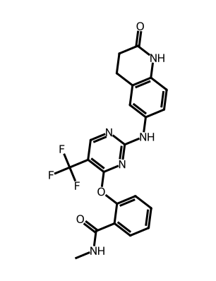 CNC(=O)c1ccccc1Oc1nc(Nc2ccc3c(c2)CCC(=O)N3)ncc1C(F)(F)F